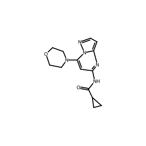 O=C(Nc1cc(N2CCOCC2)n2nccc2n1)C1CC1